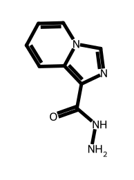 NNC(=O)c1ncn2ccccc12